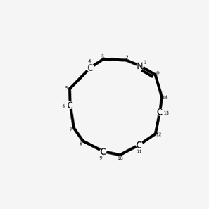 C1=NCCCCCCCCCCCCC1